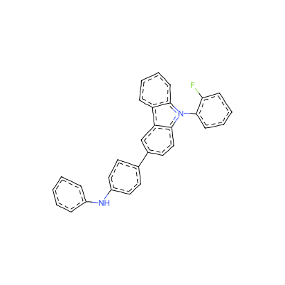 Fc1ccccc1-n1c2ccccc2c2cc(-c3ccc(Nc4ccccc4)cc3)ccc21